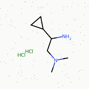 CN(C)CC(N)C1CC1.Cl.Cl